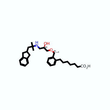 C[C@@H](OC[C@H](O)CNC(C)(C)CC1Cc2ccccc2C1)c1ccccc1CCCCCCC(=O)O